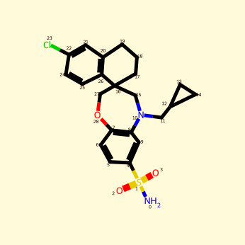 NS(=O)(=O)c1ccc2c(c1)N(CC1CC1)CC1(CCCc3cc(Cl)ccc31)CO2